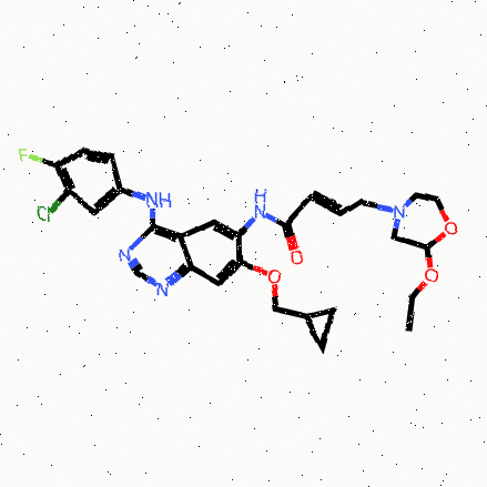 CCOC1CN(C/C=C/C(=O)Nc2cc3c(Nc4ccc(F)c(Cl)c4)ncnc3cc2OCC2CC2)CCO1